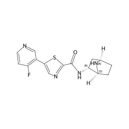 O=C(N[C@@H]1C[C@H]2CC[C@@H]1N2)c1ncc(-c2cnccc2F)s1